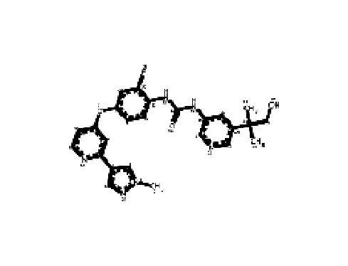 Cn1cc(-c2cc(Oc3ccc(NC(=O)Nc4cncc(C(C)(C)CO)c4)c(F)c3)ccn2)cn1